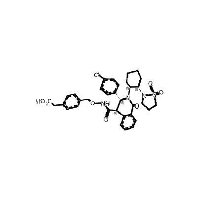 O=C(O)Cc1ccc(CONC(=O)[C@@H]2c3ccccc3C(=O)N([C@H]3CCCC[C@@H]3N3CCCS3(=O)=O)[C@H]2c2ccc(Cl)cc2)cc1